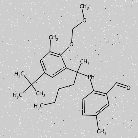 CCCCC(C)(Pc1ccc(C)cc1C=O)c1cc(C(C)(C)C)cc(C)c1OCOC